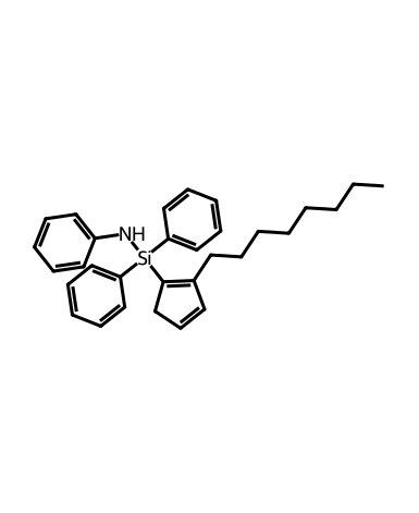 CCCCCCCCC1=C([Si](Nc2ccccc2)(c2ccccc2)c2ccccc2)CC=C1